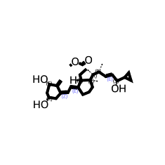 C=C1/C(=C\C=C2/CCC[C@]3(C)[C@@H]([C@H](C)/C=C/[C@@H](O)C4CC4)CC[C@@H]23)C[C@@H](O)C[C@@H]1O.COC=O